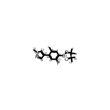 Cc1cc(B2OC(C)(C)C(C)(C)O2)c(F)cc1-c1cnn(C)c1